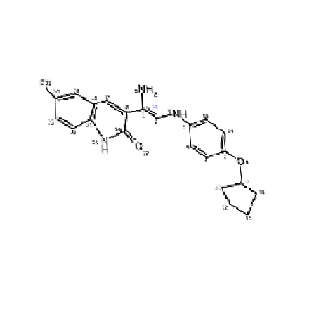 N/C(=C\Nc1ccc(OC2CCCC2)cc1)c1cc2cc(F)ccc2[nH]c1=O